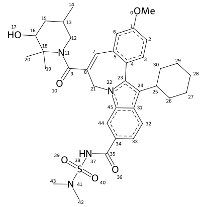 COc1ccc2c(c1)C=C(C(=O)N1CC(C)CC(O)C1(C)C)Cn1c-2c(C2CCCCC2)c2ccc(C(=O)NS(=O)(=O)N(C)C)cc21